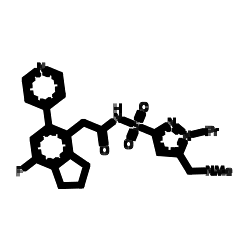 CNCc1cc(S(=O)(=O)NC(=O)Cc2c(-c3ccncc3)cc(F)c3c2CCC3)nn1C(C)C